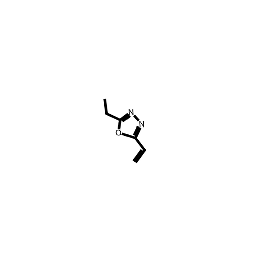 C=Cc1nnc(CC)o1